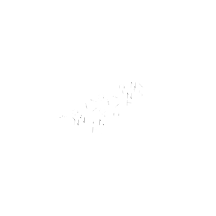 CC(C)c1nnc(-c2ccc(Oc3cc(OC4CCN(C)C4=O)cc(C(=O)Nc4nccs4)c3)cc2)o1